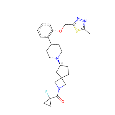 Cc1nnc(COc2ccccc2C2CCN([C@H]3CCC4(C3)CN(C(=O)C3(F)CC3)C4)CC2)s1